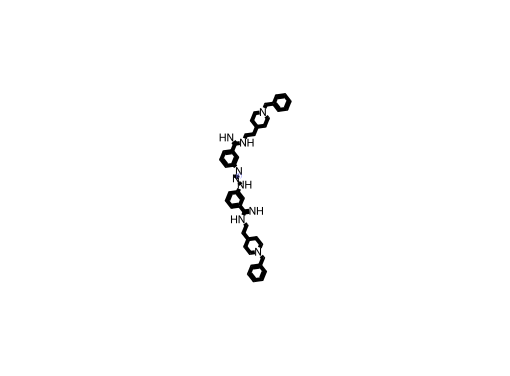 N=C(NCCC1CCN(Cc2ccccc2)CC1)c1cccc(/N=N/Nc2cccc(C(=N)NCCC3CCN(Cc4ccccc4)CC3)c2)c1